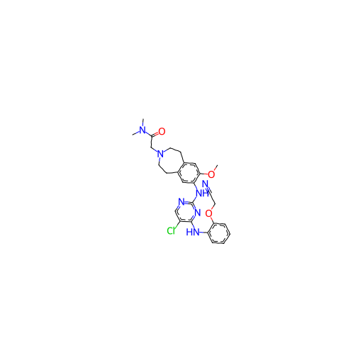 COc1cc2c(cc1Nc1ncc(Cl)c(Nc3ccccc3OCC#N)n1)CCN(CC(=O)N(C)C)CC2